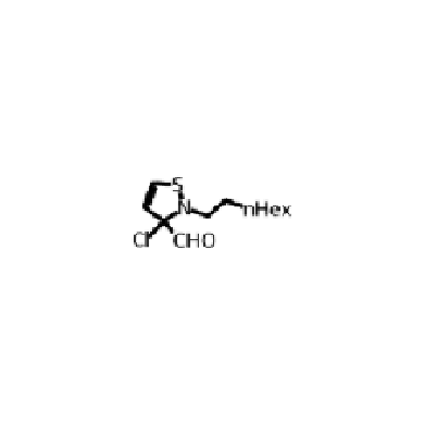 CCCCCCCCN1SC=CC1(Cl)C=O